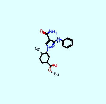 CC(C)(C)OC(=O)C1CC[C@@H](C#N)C(n2cc(C(N)=O)c(Nc3ccccc3)n2)C1